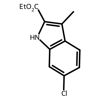 CCOC(=O)c1[nH]c2cc(Cl)ccc2c1C